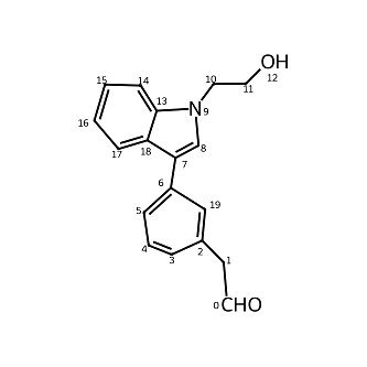 O=CCc1cccc(-c2cn(CCO)c3ccccc23)c1